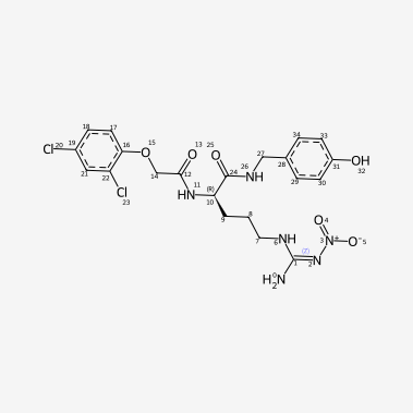 N/C(=N/[N+](=O)[O-])NCCC[C@@H](NC(=O)COc1ccc(Cl)cc1Cl)C(=O)NCc1ccc(O)cc1